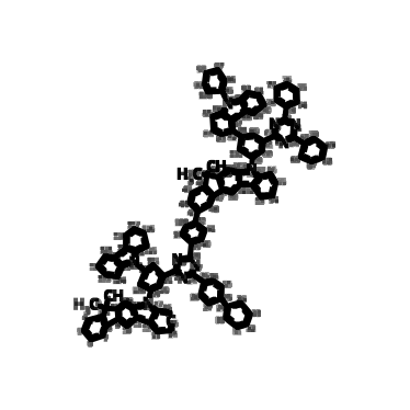 CC1(C)c2ccccc2-c2cc3c4ccccc4n(-c4cc(-c5nc(-c6ccc(-c7ccccc7)cc6)nc(-c6ccc(-c7ccc8c(c7)-c7cc9c%10ccccc%10n(-c%10cc(-c%11nc(-c%12ccccc%12)nc(-c%12ccccc%12)n%11)cc(-c%11cccc%12c%11c%11ccccc%11n%12-c%11ccccc%11)c%10)c9cc7C8(C)C)cc6)n5)cc(-n5c6ccccc6c6ccccc65)c4)c3cc21